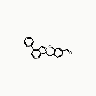 O=Cc1ccc(Cn2ncc3c(-c4ccccc4)cccc32)c(Cl)c1